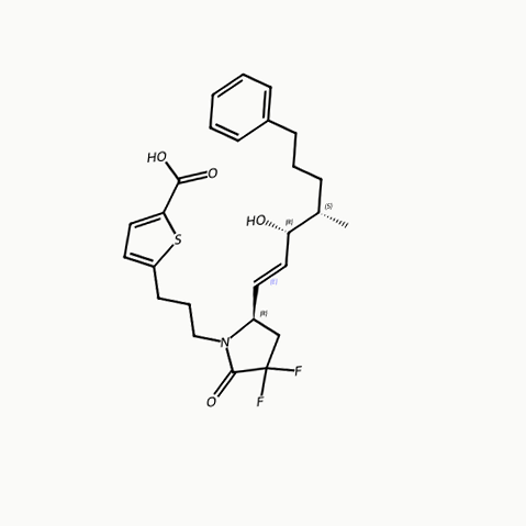 C[C@@H](CCCc1ccccc1)[C@@H](O)/C=C/[C@H]1CC(F)(F)C(=O)N1CCCc1ccc(C(=O)O)s1